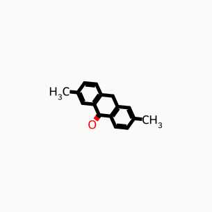 Cc1ccc2c(c1)Cc1ccc(C)cc1C2=O